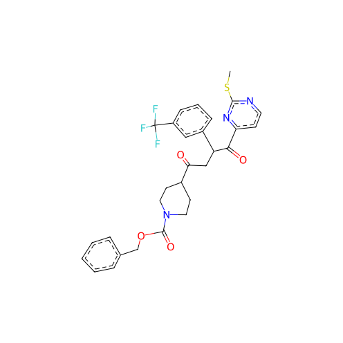 CSc1nccc(C(=O)C(CC(=O)C2CCN(C(=O)OCc3ccccc3)CC2)c2cccc(C(F)(F)F)c2)n1